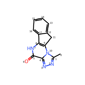 Cc1nnc2c(=O)[nH]c3c(n12)Cc1ccccc1-3